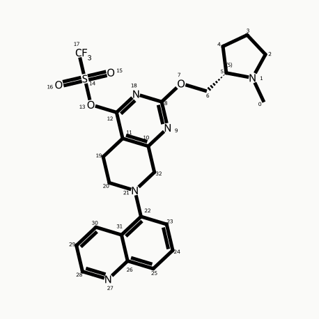 CN1CCC[C@H]1COc1nc2c(c(OS(=O)(=O)C(F)(F)F)n1)CCN(c1cccc3ncccc13)C2